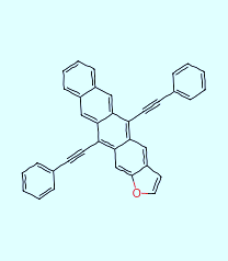 C(#Cc1c2cc3ccccc3cc2c(C#Cc2ccccc2)c2cc3occc3cc12)c1ccccc1